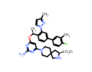 CCOC(=O)[C@@H]1CC2(CCN(c3cc(O[C@H](c4ccc(-c5ccc(F)c(C)c5)cc4-n4ccc(C)n4)C(F)(F)F)nc(N)n3)CC2)CN1